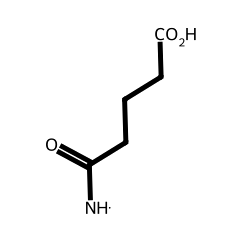 [NH]C(=O)CCCC(=O)O